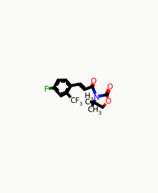 CC1(C)COC(=O)N1C(=O)C=Cc1ccc(F)cc1C(F)(F)F